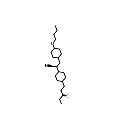 CCCCOC1CCC(CC(C#N)C2CCC(CCC(=O)CC)CC2)CC1